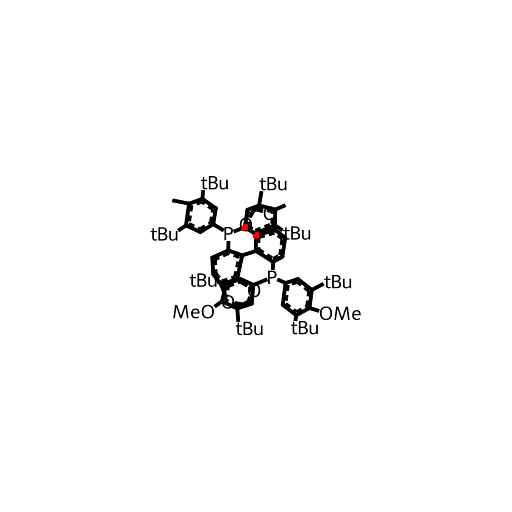 COc1c(C(C)(C)C)cc(P(c2cc(C(C)(C)C)c(OC)c(C(C)(C)C)c2)c2ccc3c(c2-c2c(P(c4cc(C(C)(C)C)c(C)c(C(C)(C)C)c4)c4cc(C(C)(C)C)c(C)c(C(C)(C)C)c4)ccc4c2OCO4)OCO3)cc1C(C)(C)C